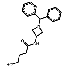 O=C(CCCO)NC1CN(C(c2ccccc2)c2ccccc2)C1